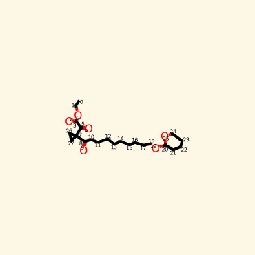 CCOC(=O)C(=O)C1(C(=O)CCCCCCCCCOC2CCCCO2)CC1